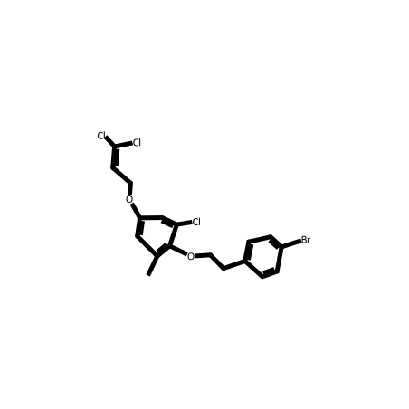 Cc1cc(OCC=C(Cl)Cl)cc(Cl)c1OCCc1ccc(Br)cc1